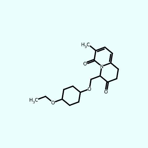 CCOC1CCC(OCC2C(=O)CCc3ccc(C)c(=O)n32)CC1